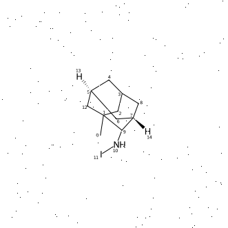 CC12CC3C[C@@H](C[C@H](C3)C1NI)C2